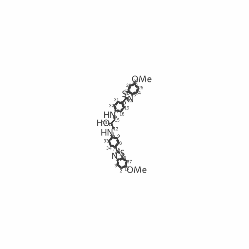 COc1ccc2nc(-c3ccc(NCC(O)CNc4ccc(-c5nc6ccc(OC)cc6s5)cc4)cc3)sc2c1